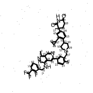 Cc1nnc(N[C@H](C)c2cccc(C(F)F)c2F)c2cc(-c3ccc(F)c(CN4CCC(c5ccc([C@@]6(C)CCC(=O)NC6=O)cc5C5CC5)CC4)c3)ncc12